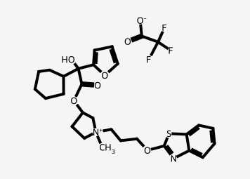 C[N+]1(CCCOc2nc3ccccc3s2)CCC(OC(=O)C(O)(c2ccco2)C2CCCCC2)C1.O=C([O-])C(F)(F)F